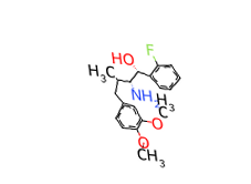 COc1ccc(CC(C)[C@@H](N)[C@H](O)c2ccccc2F)cc1OC